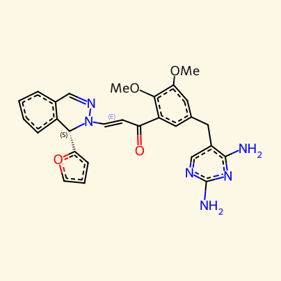 COc1cc(Cc2cnc(N)nc2N)cc(C(=O)/C=C/N2N=Cc3ccccc3[C@H]2c2ccco2)c1OC